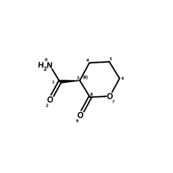 NC(=O)[C@H]1CCCOC1=O